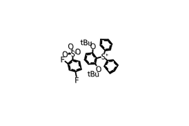 CC(C)(C)Oc1cccc(OC(C)(C)C)c1[S+](c1ccccc1)c1ccccc1.O=S(=O)([O-])c1ccc(F)cc1F